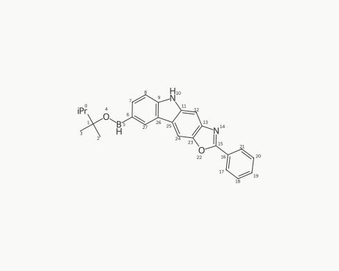 CC(C)C(C)(C)OBc1ccc2[nH]c3cc4nc(-c5ccccc5)oc4cc3c2c1